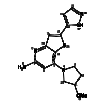 COC1CCN(c2cc(N)nc3cc(-c4ccn[nH]4)sc23)C1